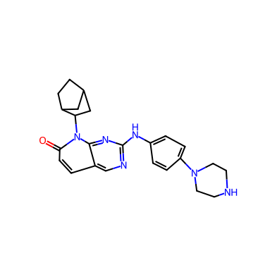 O=c1ccc2cnc(Nc3ccc(N4CCNCC4)cc3)nc2n1C1CC2CCC1C2